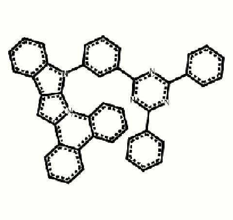 c1ccc(-c2nc(-c3ccccc3)nc(-c3cccc(-n4c5ccccc5c5cc6c7ccccc7c7ccccc7n6c54)c3)n2)cc1